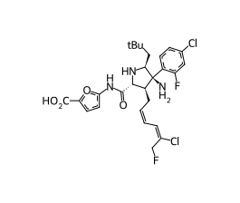 CC(C)(C)C[C@@H]1N[C@@H](C(=O)Nc2ccc(C(=O)O)o2)[C@H](C/C=C\C=C(\Cl)CF)[C@@]1(N)c1ccc(Cl)cc1F